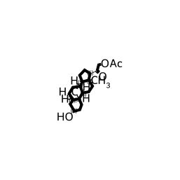 CC(=O)OCC(=O)[C@H]1CC[C@H]2[C@@H]3CC[C@@H]4C[C@H](O)CC[C@]4(C)[C@H]3CC[C@]12C